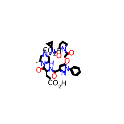 C[C@@H]1CN(C(=O)O)CCN1C(=O)[C@H](CCC(=O)O)NC(=O)c1cc(OCC(=O)N2CCC[C@H]2C(=O)N(C)C2CC2)n(-c2ccccc2)n1